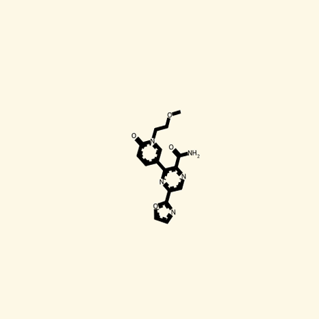 COCCn1cc(-c2nc(-c3ncco3)cnc2C(N)=O)ccc1=O